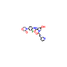 O=C(Nc1ccc(N2CCOCC2=O)cc1F)[C@H]1C[C@@H](O)CN1C(=O)/C=C/c1cccnc1